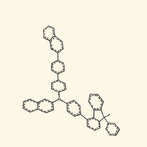 CC1(c2ccccc2)c2ccccc2-c2c(-c3ccc(N(c4ccc(-c5ccc(-c6ccc7ccccc7c6)cc5)cc4)c4ccc5ccccc5c4)cc3)cccc21